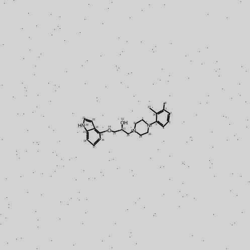 Cc1cccc(N2CCN(C[C@H](O)COc3cccc4[nH]ccc34)CC2)c1C